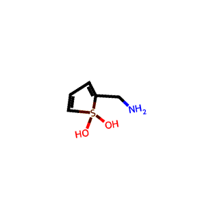 NCC1=CC=CS1(O)O